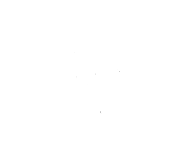 CCCCN(CCCC)CCC(=O)O.[NaH]